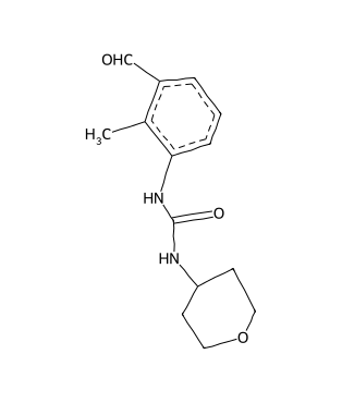 Cc1c(C=O)cccc1NC(=O)NC1CCOCC1